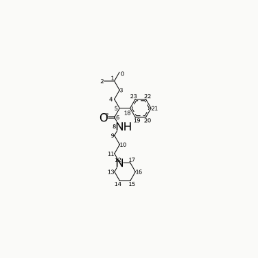 CC(C)CCC(C(=O)NCCCN1CCCCC1)c1ccccc1